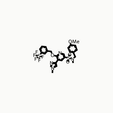 COc1ccc(CN(C)S(=O)(=O)c2cnc(OCc3cccc(S(F)(F)(F)(F)F)c3)c(-c3cn(C)cn3)c2)cc1